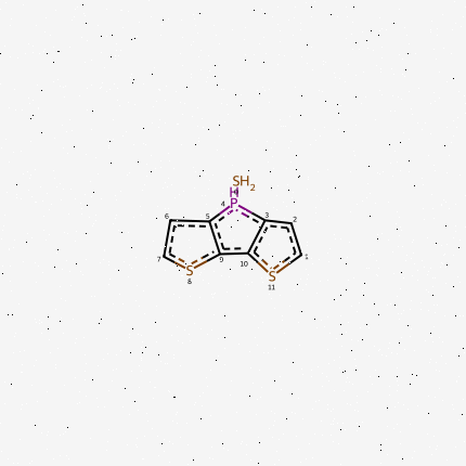 S.c1cc2[pH]c3ccsc3c2s1